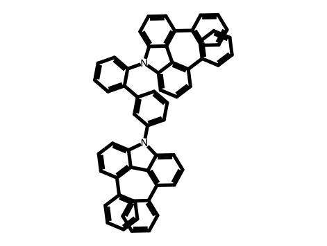 c1ccc(-c2cccc3c2c2c(-c4ccccc4)cccc2n3-c2cccc(-c3ccccc3-n3c4cccc(-c5ccccc5)c4c4c(-c5ccccc5)cccc43)c2)cc1